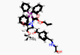 C=CCOC(=O)C(N1C(=O)[C@H]([C@@H](C)O[Si](C)(C)C(C)(C)C)[C@H]1CC(=O)c1ccc(CNCCO)cc1)=P(c1ccccc1)(c1ccccc1)c1ccccc1